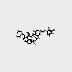 COc1ccc2ncc(CN3CCOCC3)c([C@@H](O)CCC3(CC(=O)O)CCN(CCNc4cc(F)cc(F)c4F)CC3)c2c1